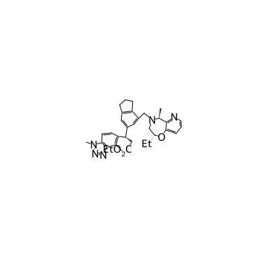 CCOC(=O)C[C@H](c1cc2c(c(CN3C[C@@H](CC)Oc4cccnc4[C@@H]3C)c1)CCC2)c1ccc2c(nnn2C)c1C